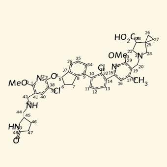 COc1nc(O[C@H]2CCc3c(-c4cccc(-c5cc(C)c(CN6CC(C(=O)O)C7(CC7)C6)c(OC)n5)c4Cl)cccc32)c(Cl)cc1CNC[C@@H]1CCC(=O)N1